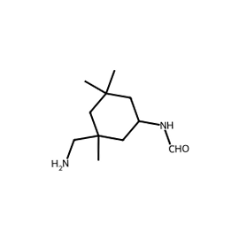 CC1(C)CC(NC=O)CC(C)(CN)C1